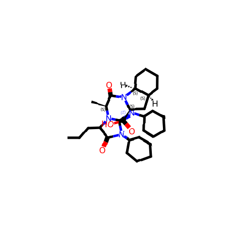 CCCC1C(=O)N(C2CCCCC2)/C(=N\C2CCCCC2)N1[C@@H](C)C(=O)N1[C@H](C(=O)O)C[C@@H]2CCCC[C@@H]21